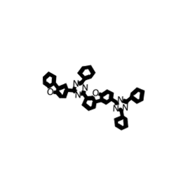 c1ccc(-c2nc(-c3ccccc3)nc(-c3ccc4oc5c(-c6nc(-c7ccccc7)nc(-c7ccc8oc9ccccc9c8c7)n6)cccc5c4c3)n2)cc1